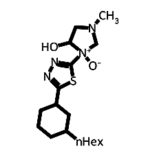 CCCCCCC1CCCC(c2nnc([N+]3([O-])CN(C)CC3O)s2)C1